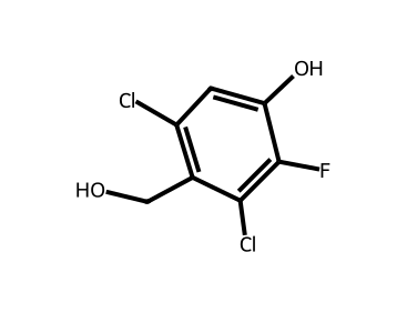 OCc1c(Cl)cc(O)c(F)c1Cl